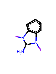 NB1N(I)c2ccccc2N1I